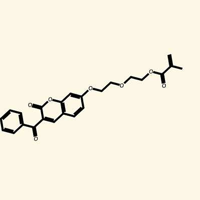 C=C(C)C(=O)OCCOCCOc1ccc2cc(C(=O)c3ccccc3)c(=O)oc2c1